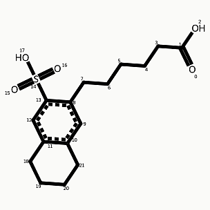 O=C(O)CCCCCc1cc2c(cc1S(=O)(=O)O)CCCC2